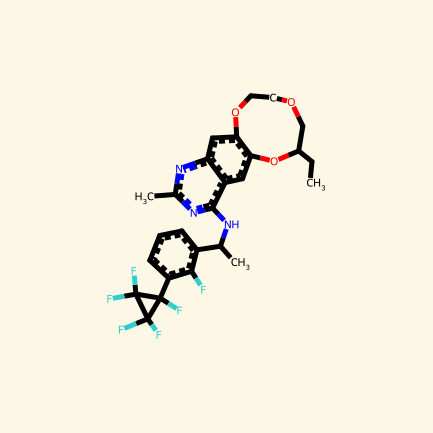 CCC1COCCOc2cc3nc(C)nc(NC(C)c4cccc(C5(F)C(F)(F)C5(F)F)c4F)c3cc2O1